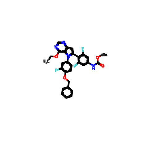 CC(C)(C)OC(=O)Nc1cc(F)c(-c2cc3ncnc(OCC(F)(F)F)c3n2-c2ccc(OCc3ccccc3)c(F)c2)c(F)c1